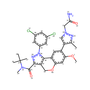 COc1cc2c(cc1-c1cn(CC(N)=O)nc1C)-c1c(c(C(=O)N(C)C(C)(C)C)nn1-c1cc(Cl)cc(Cl)c1)CO2